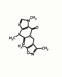 Cc1noc(C)c1Cn1c(=O)c2c(ncn2C)n(C)c1=O